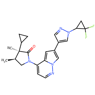 C[C@@H]1CN(c2ccnn3cc(-c4cnn(C5CC5(F)F)c4)cc23)C(=O)[C@]1(C#N)C1CC1